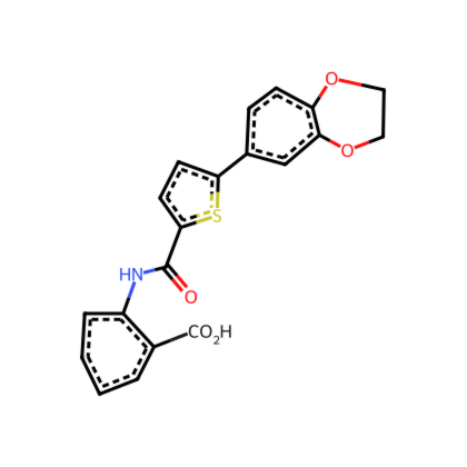 O=C(Nc1ccccc1C(=O)O)c1ccc(-c2ccc3c(c2)OCCO3)s1